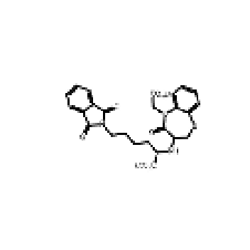 CCOC(=O)CN1C(=O)C(N[C@H](CCCCN2C(=O)c3ccccc3C2=O)C(=O)OCC)CSc2ccccc21